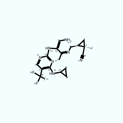 CC(=N/C[C@H]1C[C@@]1(C)C#N)/C(=C\N)Nc1ncc(C(F)(F)F)c(NC2CC2)n1